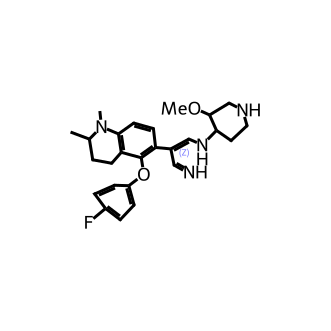 COC1CNCCC1N/C=C(\C=N)c1ccc2c(c1Oc1ccc(F)cc1)CCC(C)N2C